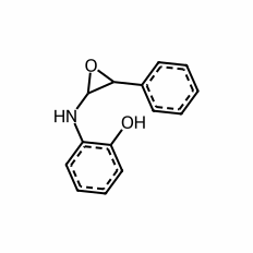 Oc1ccccc1NC1OC1c1ccccc1